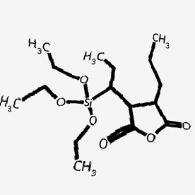 CCCC1C(=O)OC(=O)C1C(CC)[Si](OCC)(OCC)OCC